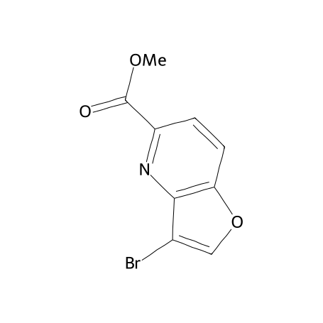 COC(=O)c1ccc2occ(Br)c2n1